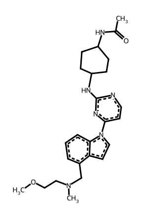 COCCN(C)Cc1cccc2c1ccn2-c1ccnc(NC2CCC(NC(C)=O)CC2)n1